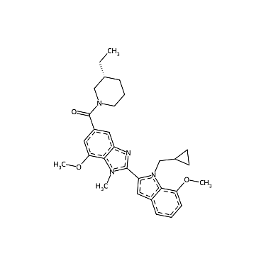 CC[C@@H]1CCCN(C(=O)c2cc(OC)c3c(c2)nc(-c2cc4cccc(OC)c4n2CC2CC2)n3C)C1